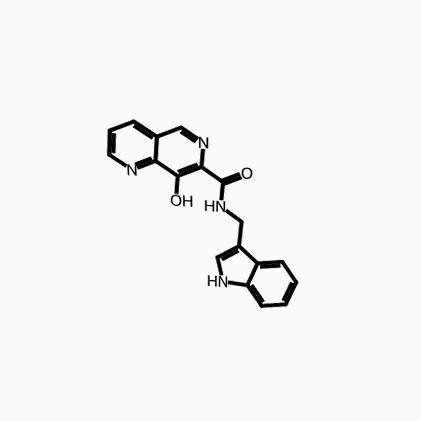 O=C(NCc1c[nH]c2ccccc12)c1ncc2cccnc2c1O